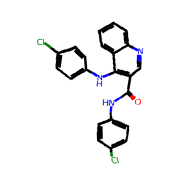 O=C(Nc1ccc(Cl)cc1)c1cnc2ccccc2c1Nc1ccc(Cl)cc1